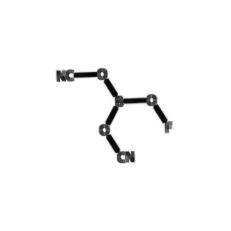 N#COB(OF)OC#N